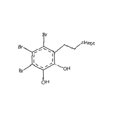 CCCCCCCCCc1c(O)c(O)c(Br)c(Br)c1Br